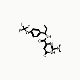 CCC(NC(=O)c1cc(=O)[nH]c(N(C)C)n1)c1ccc(OC(F)(F)F)cc1